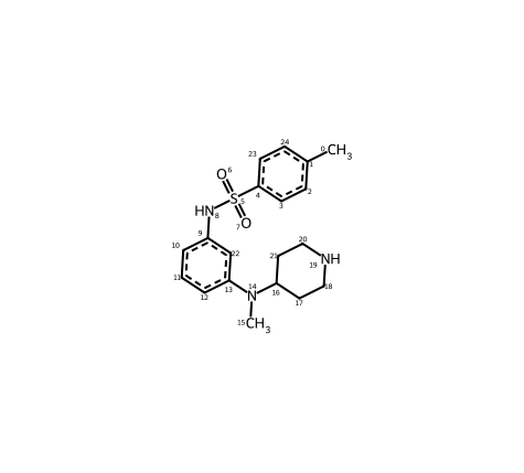 Cc1ccc(S(=O)(=O)Nc2cccc(N(C)C3CCNCC3)c2)cc1